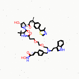 Cc1ncsc1-c1ccc([C@H](C)CC(=O)[C@H]2C[C@@H](O)CN2C(=O)[C@@H](NC(=O)CCOCCOCCN(CCc2c[nH]c3ccccc23)Cc2ccc(/C=C/C(=O)NO)cc2)C(C)(C)C)cc1